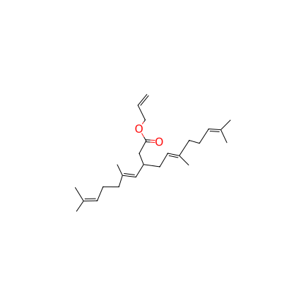 C=CCOC(=O)CC(/C=C(\C)CCC=C(C)C)C/C=C(\C)CCC=C(C)C